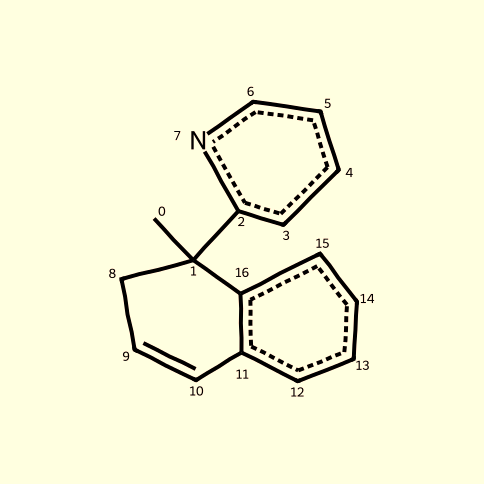 CC1(c2ccccn2)CC=Cc2ccccc21